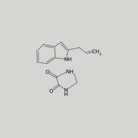 C=CCc1cc2ccccc2[nH]1.O=C1NCCNC1=O